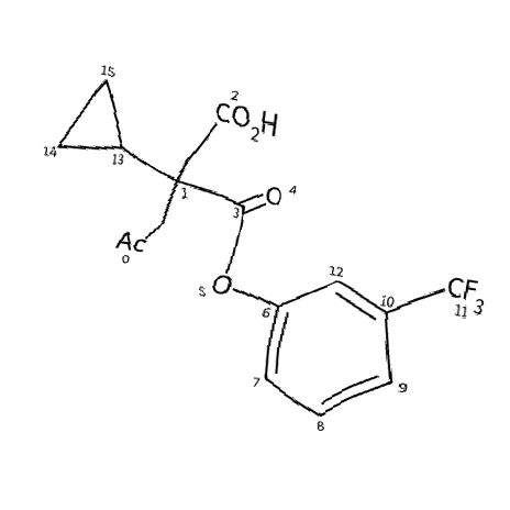 CC(=O)C(C(=O)O)(C(=O)Oc1cccc(C(F)(F)F)c1)C1CC1